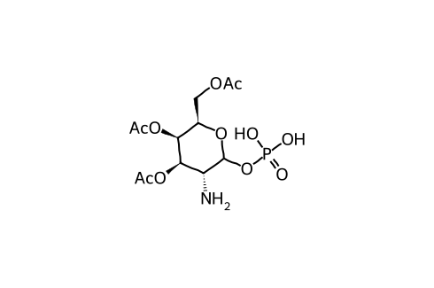 CC(=O)OC[C@H]1OC(OP(=O)(O)O)[C@H](N)[C@@H](OC(C)=O)[C@H]1OC(C)=O